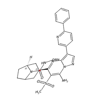 CONC(=O)N1C2CC[C@H]1C[C@@H](c1nc3c(-c4ccc(-c5ccccc5)nc4)cnn3c(N)c1S(C)(=O)=O)C2